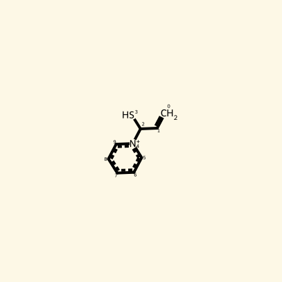 C=CC(S)[n+]1ccccc1